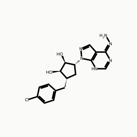 N/N=c1/nc[nH]c2c1cnn2[C@@H]1C[C@H](Cc2ccc(Cl)cc2)[C@@H](O)[C@H]1O